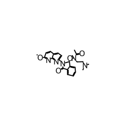 COc1ccc2ccc(N3C(=O)c4ccccc4C3ON(CCN(C)C)C(C)=O)nc2n1